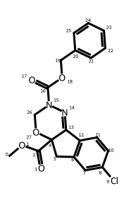 COC(=O)C12Cc3cc(Cl)ccc3C1=NN(C(=O)OCc1ccccc1)CO2